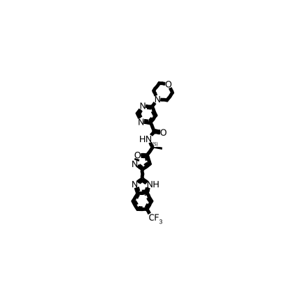 C[C@H](NC(=O)c1cc(N2CCOCC2)ncn1)c1cc(-c2nc3ccc(C(F)(F)F)cc3[nH]2)no1